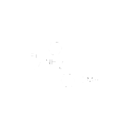 CCC(=O)N[C@@H]1CCc2ccc(OC)cc2[C@@H]1Cc1ccccc1